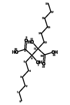 CCCCCCC(O)(C(=O)O)C(O)(CCCCCC)C(=O)O